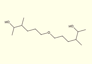 CC(O)C(C)CCCOCCCC(C)C(C)O